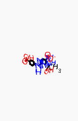 CC(CO)Nc1nc(Nc2ccc(C(=O)O)cc2)ncc1[N+](=O)[O-]